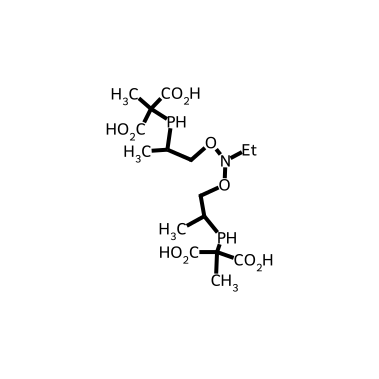 CCN(OCC(C)PC(C)(C(=O)O)C(=O)O)OCC(C)PC(C)(C(=O)O)C(=O)O